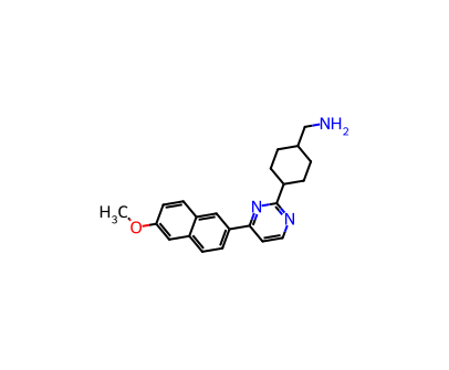 COc1ccc2cc(-c3ccnc(C4CCC(CN)CC4)n3)ccc2c1